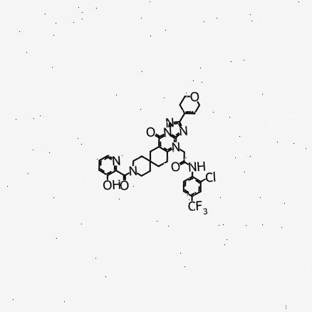 O=C(Cn1c2c(c(=O)n3nc(C4=CCOCC4)nc13)CC1(CC2)CCN(C(=O)c2ncccc2O)CC1)Nc1ccc(C(F)(F)F)cc1Cl